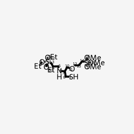 CCO[Si](CCCNC(CS)COCCC[Si](OC)(OC)OC)(OCC)OCC